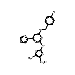 CCOC(=O)c1sc(Nc2nc(NCc3ccc(Cl)cc3)cc(-c3cnco3)n2)nc1C